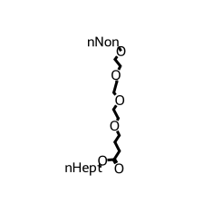 CCCCCCCCCOCCOCCOCCOCCCC(=O)OCCCCCCC